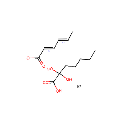 C/C=C/C=C/C(=O)[O-].CCCCCC(O)(O)C(=O)O.[K+]